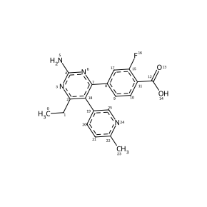 CCc1nc(N)nc(-c2ccc(C(=O)O)c(F)c2)c1-c1ccc(C)nc1